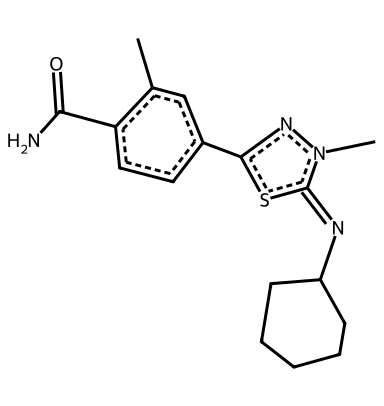 Cc1cc(-c2nn(C)c(=NC3CCCCC3)s2)ccc1C(N)=O